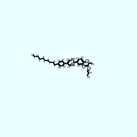 CCCCCCCCCCc1ccc(-c2cnc(-c3ccc(OC(C)C(=O)OCCC)cc3)nc2)cc1